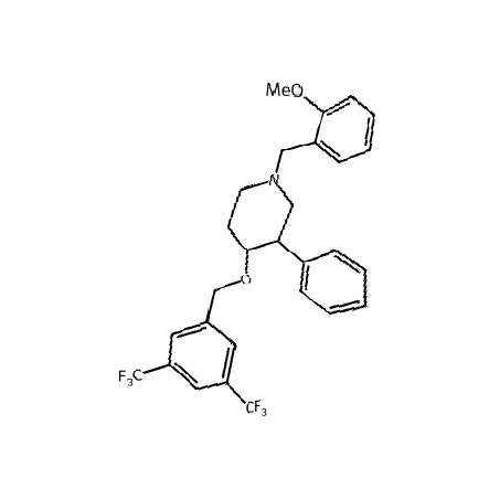 COc1ccccc1CN1CCC(OCc2cc(C(F)(F)F)cc(C(F)(F)F)c2)C(c2ccccc2)C1